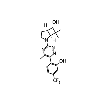 Cc1nc(N2CC[C@@H]3[C@H]2C(C)(C)[C@H]3O)nnc1-c1ccc(C(F)(F)F)cc1O